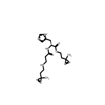 CC1(CCNCCC(=O)N[C@@H](Cc2cnc[nH]2)C(=O)OCCC2(C)N=N2)N=N1